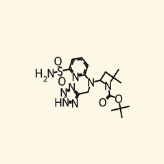 CC(C)(C)OC(=O)N1C(N(Cc2nn[nH]n2)c2cccc(S(N)(=O)=O)n2)CC1(C)C